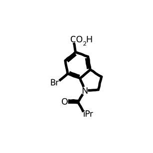 CC(C)C(=O)N1CCc2cc(C(=O)O)cc(Br)c21